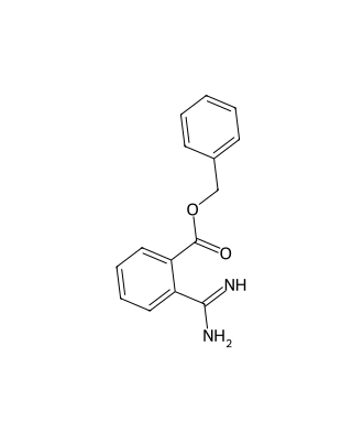 N=C(N)c1ccccc1C(=O)OCc1ccccc1